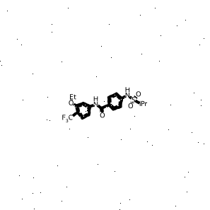 CCOc1cc(NC(=O)c2ccc(NS(=O)(=O)C(C)C)cc2)ccc1C(F)(F)F